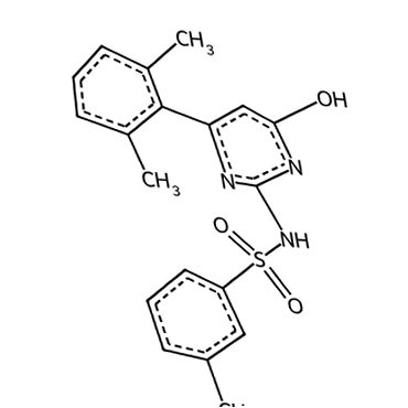 Cc1cccc(S(=O)(=O)Nc2nc(O)cc(-c3c(C)cccc3C)n2)c1